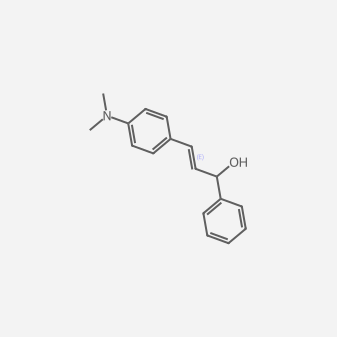 CN(C)c1ccc(/C=C/C(O)c2ccccc2)cc1